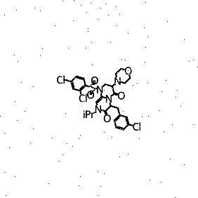 CC(C)N1C=C2N(C(=O)C(N3CCOCC3)CN2S(=O)(=O)c2ccc(Cl)cc2Cl)C(Cc2cccc(Cl)c2)C1=O